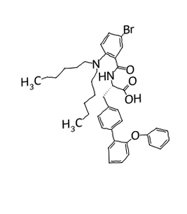 CCCCCCN(CCCCCC)c1ccc(Br)cc1C(=O)N[C@@H](Cc1ccc(-c2ccccc2Oc2ccccc2)cc1)C(=O)O